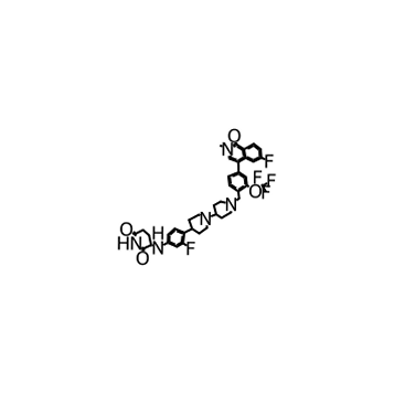 Cn1cc(-c2ccc(CN3CCC(N4CCC(c5ccc(NC6CCC(=O)NC6=O)cc5F)CC4)CC3)c(OC(F)(F)F)c2)c2cc(F)ccc2c1=O